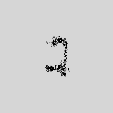 CNc1nc(Nc2ccc(C(=O)N3CCN(CCOCCOCCOCCOCCSC(C)(C)[C@H](NC(=O)C4(F)CC4)C(=O)N4C[C@H](O)C[C@H]4C(=O)NCc4ccc(-c5scnc5C)cc4)CC3)cc2OC)ncc1Cl